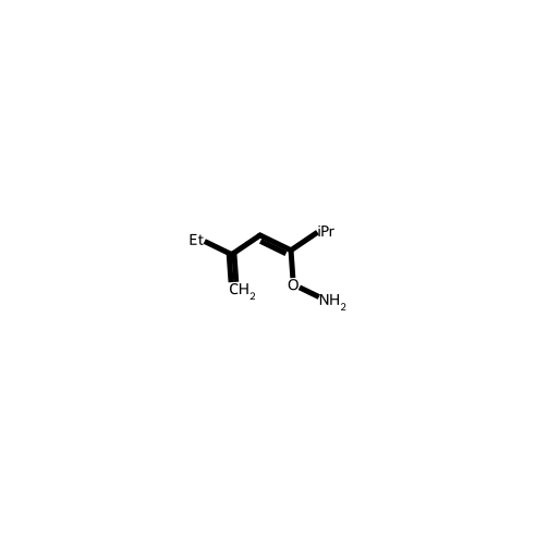 C=C(/C=C(\ON)C(C)C)CC